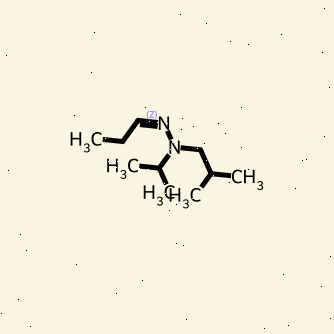 CC/C=N\N(CC(C)C)C(C)C